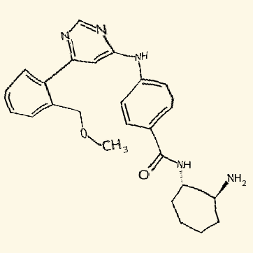 COCc1ccccc1-c1cc(Nc2ccc(C(=O)N[C@H]3CCCC[C@@H]3N)cc2)ncn1